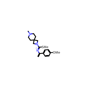 C=C(/N=C(\SC)N1CC2(CCN(C)CC2)C1)c1ccc(OC)cc1